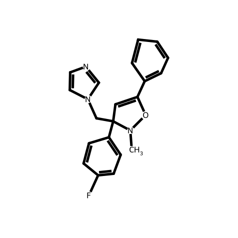 CN1OC(c2ccccc2)=CC1(Cn1ccnc1)c1ccc(F)cc1